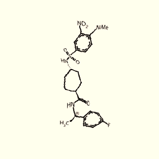 CNc1ccc(S(=O)(=O)N[C@H]2CC[C@H](C(=O)N[C@H](C)c3ccc(F)cc3)CC2)cc1[N+](=O)[O-]